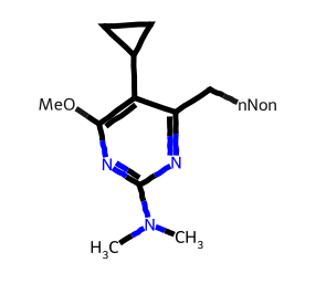 CCCCCCCCCCc1nc(N(C)C)nc(OC)c1C1CC1